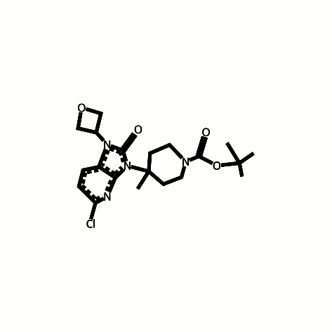 CC(C)(C)OC(=O)N1CCC(C)(n2c(=O)n(C3COC3)c3ccc(Cl)nc32)CC1